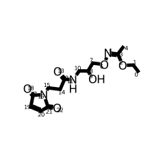 CCO/C(C)=N\OCC(O)CNC(=O)CCN1C(=O)C=CC1=O